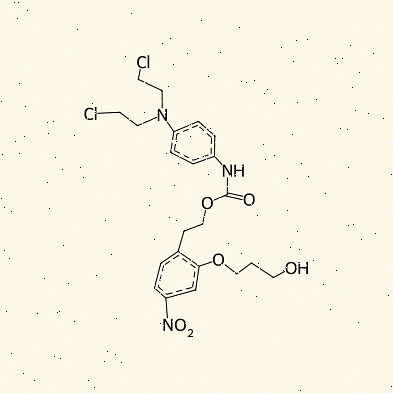 O=C(Nc1ccc(N(CCCl)CCCl)cc1)OCCc1ccc([N+](=O)[O-])cc1OCCCO